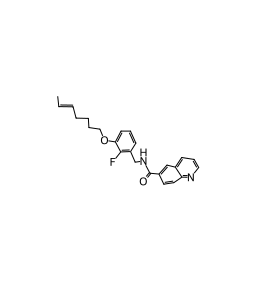 CC=CCCCCOc1cccc(CNC(=O)c2ccc3ncccc3c2)c1F